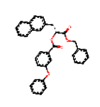 O=C(O[C@H](Cc1ccc2ccccc2c1)C(=O)OCc1ccccc1)c1cccc(Oc2ccccc2)c1